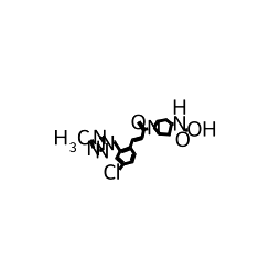 Cc1nnn(Cc2cc(Cl)ccc2C=CC(=O)N2CCC(NC(=O)O)CC2)n1